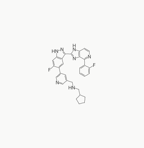 Fc1cc2[nH]nc(-c3nc4c(-c5ccccc5F)nccc4[nH]3)c2cc1-c1cncc(CNCC2CCCC2)c1